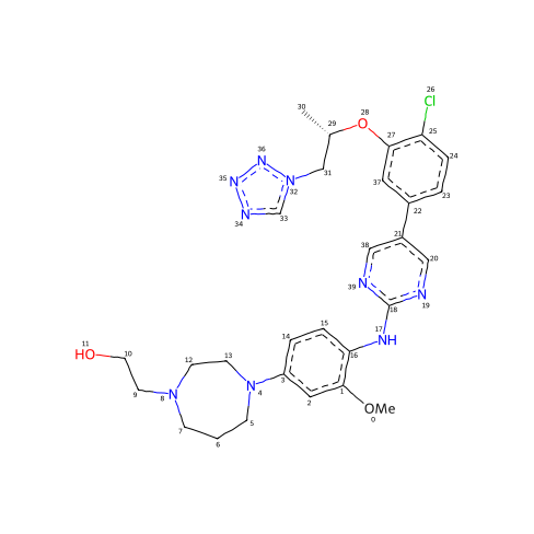 COc1cc(N2CCCN(CCO)CC2)ccc1Nc1ncc(-c2ccc(Cl)c(O[C@@H](C)Cn3cnnn3)c2)cn1